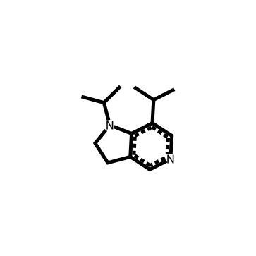 CC(C)c1cncc2c1N(C(C)C)CC2